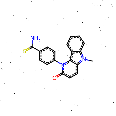 Cn1c2ccccc2c2c1ccc(=O)n2-c1ccc(C(N)=S)cc1